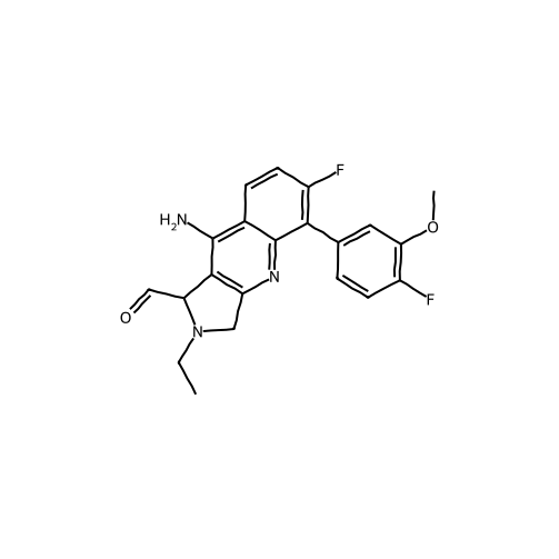 CCN1Cc2nc3c(-c4ccc(F)c(OC)c4)c(F)ccc3c(N)c2C1C=O